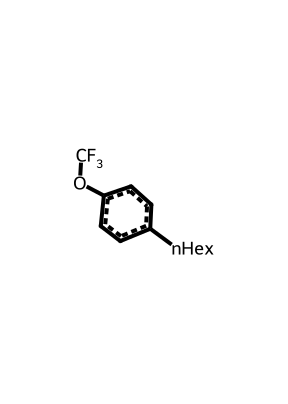 [CH2]CCCCCc1ccc(OC(F)(F)F)cc1